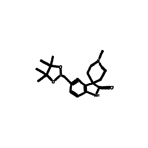 CN1CCC2(CC1)C(=O)Nc1ccc(B3OC(C)(C)C(C)(C)O3)cc12